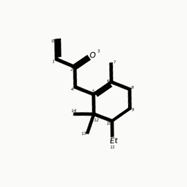 C=CC(=O)CC1=C(C)CCC(CC)C1(C)C